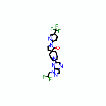 O=C1N(c2ccc(C(F)(F)F)cn2)CCC12CC1CCC(C2)N1c1cnc2cnn(CC(F)F)c2n1